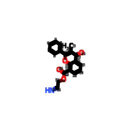 Cc1c(-c2ccccc2)oc2c(C(=O)OCC=N)cccc2c1=O